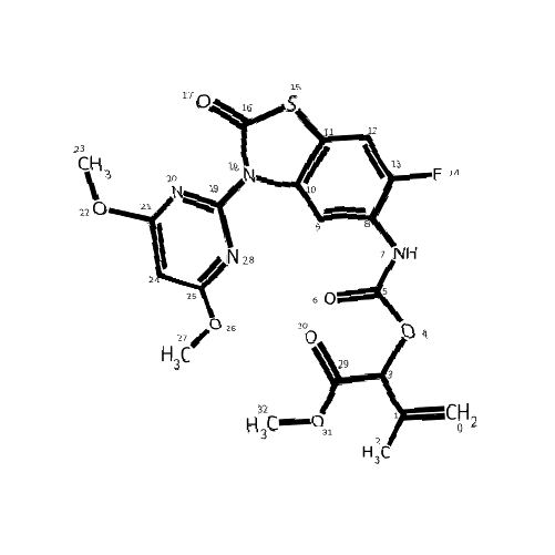 C=C(C)C(OC(=O)Nc1cc2c(cc1F)sc(=O)n2-c1nc(OC)cc(OC)n1)C(=O)OC